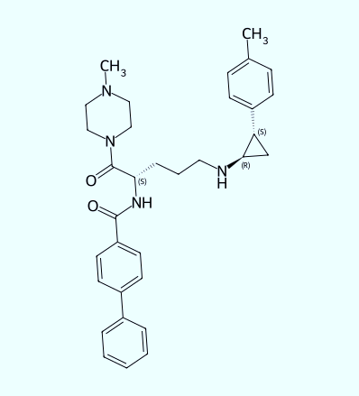 Cc1ccc([C@@H]2C[C@H]2NCCC[C@H](NC(=O)c2ccc(-c3ccccc3)cc2)C(=O)N2CCN(C)CC2)cc1